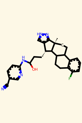 C[C@]12CCC3c4cccc(F)c4CCC3C1[C@H](CCC(O)Nc1ccc(C#N)cn1)c1c[nH]nc12